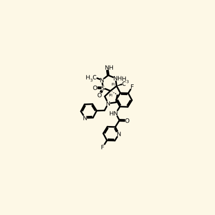 CN1C(=N)N[C@](C)(c2cc(NC(=O)c3ccc(F)cn3)ccc2F)[C@]2(CCN(Cc3cccnc3)C2)S1(=O)=O